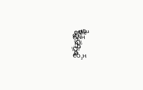 COC(=O)[C@H](COC(C)(C)C)NC(=O)c1ccc(Oc2cccc(OCC(=O)O)c2)nc1